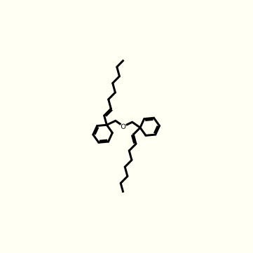 CCCCCCC=CC1(COCC2(C=CCCCCCC)C=CC=CC2)C=CC=CC1